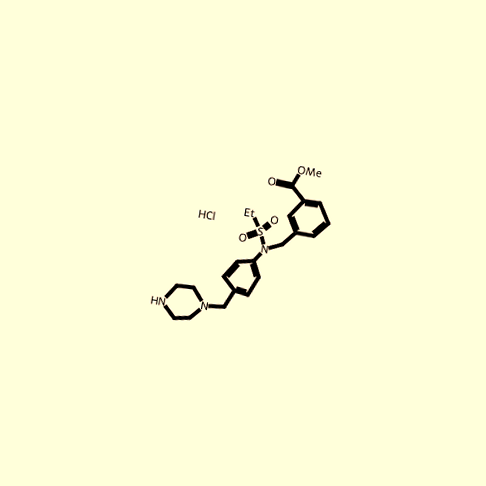 CCS(=O)(=O)N(Cc1cccc(C(=O)OC)c1)c1ccc(CN2CCNCC2)cc1.Cl